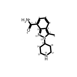 Cc1c2cccc(C(N)=O)c2nn1C1CCNCC1